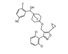 N#Cc1ccc(F)c(C(O)C23CCC(OCc4c(-c5c(Cl)cccc5Cl)noc4C4CC4)(CC2)CC3)c1